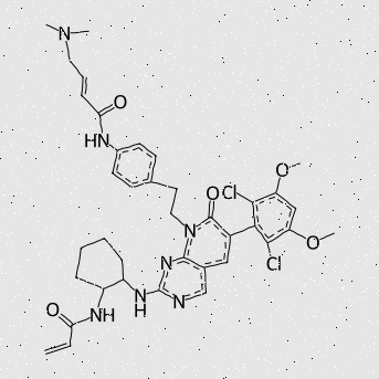 C=CC(=O)NC1CCCCC1Nc1ncc2cc(-c3c(Cl)c(OC)cc(OC)c3Cl)c(=O)n(CCc3ccc(NC(=O)/C=C/CN(C)C)cc3)c2n1